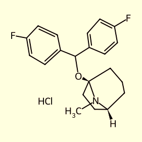 CN1[C@@H]2CCC[C@@]1(OC(c1ccc(F)cc1)c1ccc(F)cc1)CC2.Cl